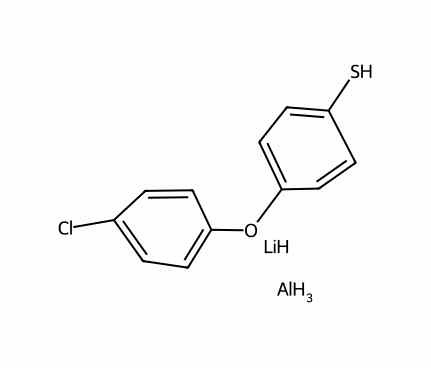 Sc1ccc(Oc2ccc(Cl)cc2)cc1.[AlH3].[LiH]